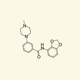 CN1CCN(c2cccc(C(=O)Nc3cccc4c3OCO4)c2)CC1